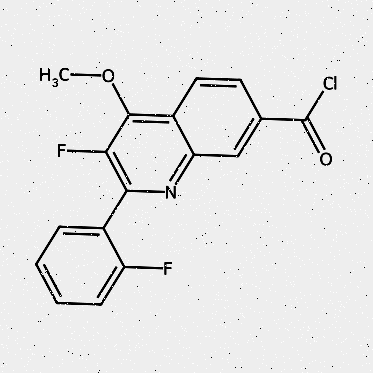 COc1c(F)c(-c2ccccc2F)nc2cc(C(=O)Cl)ccc12